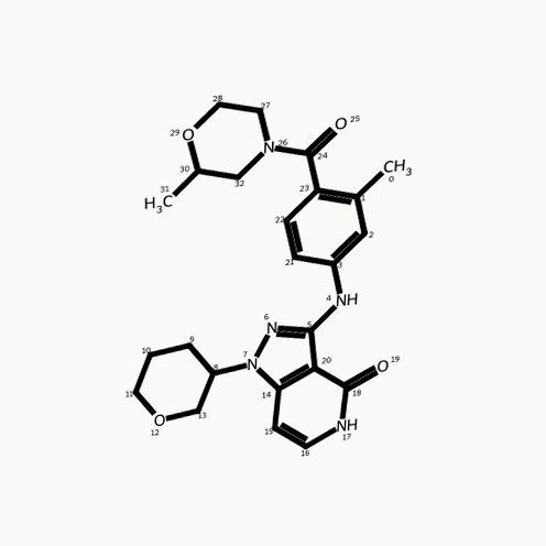 Cc1cc(Nc2nn(C3CCCOC3)c3cc[nH]c(=O)c23)ccc1C(=O)N1CCOC(C)C1